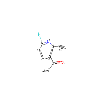 CNC(=O)c1ccc(F)nc1C(C)(C)C